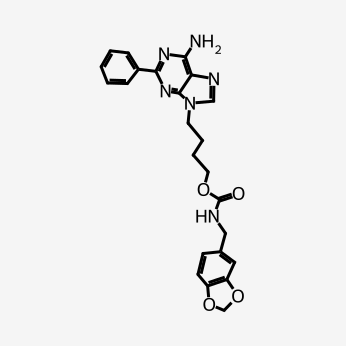 Nc1nc(-c2ccccc2)nc2c1ncn2CCCCOC(=O)NCc1ccc2c(c1)OCO2